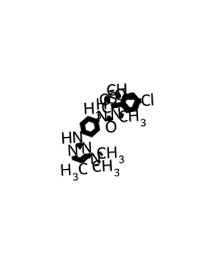 Cc1cnc(N[C@H]2CC[C@@H](NC(=O)N(C)C(C)(c3ccc(Cl)cc3)S(C)(=O)=O)CC2)nc1N(C)C